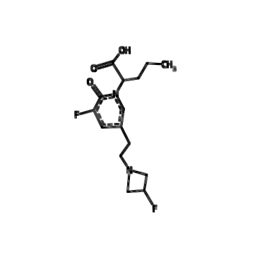 CCCC(C(=O)O)n1cc(CCN2CC(F)C2)cc(F)c1=O